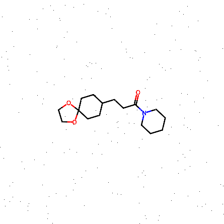 O=C(CCC1CCC2(CC1)OCCO2)N1CCCCC1